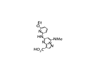 CCOc1cccc(Nc2cc(NC)n3ncc(C(=O)O)c3n2)n1